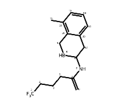 C=C(CCCC(F)(F)F)NC1BCc2c(C)cccc2C1